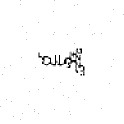 CCN1CCC(CNCc2cc3nc(Cl)nc(N4CCOCC4)c3s2)CC1